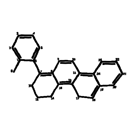 Cc1ccccc1C1=c2ccc3c(c2CCC1)CC=c1ccccc1=3